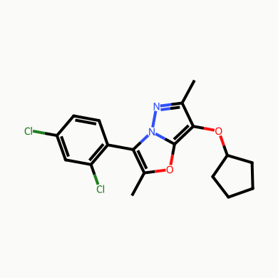 Cc1nn2c(-c3ccc(Cl)cc3Cl)c(C)oc2c1OC1CCCC1